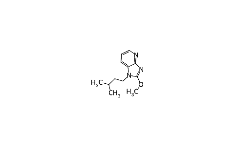 COc1nc2ncccc2n1CCC(C)C